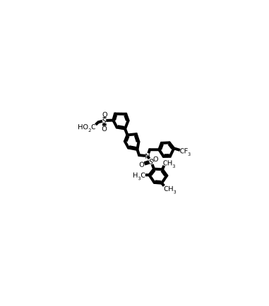 Cc1cc(C)c(S(=O)(=O)N(Cc2ccc(-c3cccc(S(=O)(=O)CC(=O)O)c3)cc2)Cc2ccc(C(F)(F)F)cc2)c(C)c1